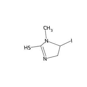 CN1C(S)=NCC1I